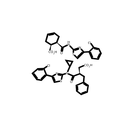 O=C(O)C[C@@H](Cc1ccccc1)C(=O)N(c1nc(-c2ccccc2Cl)cs1)C1CC1.O=C(O)[C@H]1CC=CC[C@H]1C(=O)Nc1nc(-c2ccccc2Cl)cs1